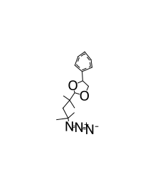 CC(C)(CC(C)(C)C1OCC(c2ccccc2)O1)N=[N+]=[N-]